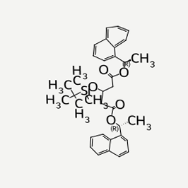 C[C@@H](OC(=O)CC(CC(=O)O[C@H](C)c1cccc2ccccc12)O[Si](C)(C)C(C)(C)C)c1cccc2ccccc12